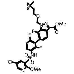 COC(=O)c1nn(COCC[Si](C)(C)C)c2c(F)c(-c3c(F)ccc(NS(=O)(=O)c4cc(Cl)cnc4OC)c3F)ccc12